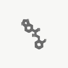 O=C(NCc1ccccc1F)c1ccc2ncsc2c1